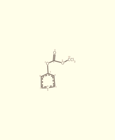 O=C(Oc1ccccc1)OC(Cl)(Cl)Cl